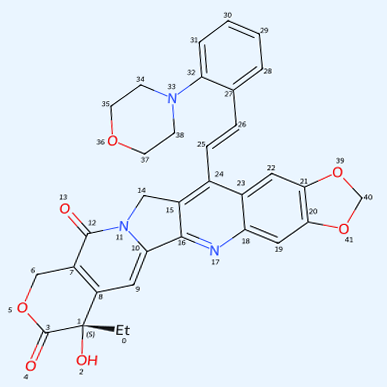 CC[C@@]1(O)C(=O)OCc2c1cc1n(c2=O)Cc2c-1nc1cc3c(cc1c2C=Cc1ccccc1N1CCOCC1)OCO3